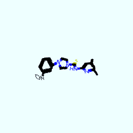 Cc1cc(C)nc(NC(=S)N2CCN(c3cccc(N=O)c3)CC2)c1